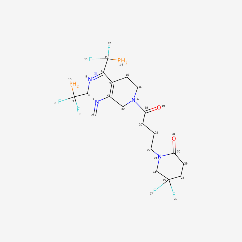 C=NC1=C(/C(=N\CC(F)(F)P)C(F)(F)P)CCN(C(=O)CCCN2CC(F)(F)CCC2=O)C1